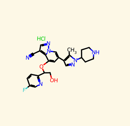 Cc1c(-c2cc(OC(CO)c3ccc(F)cn3)c3c(C#N)cnn3c2)cnn1C1CCNCC1.Cl